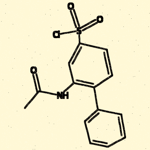 CC(=O)Nc1cc(S(=O)(=O)Cl)ccc1-c1ccccc1